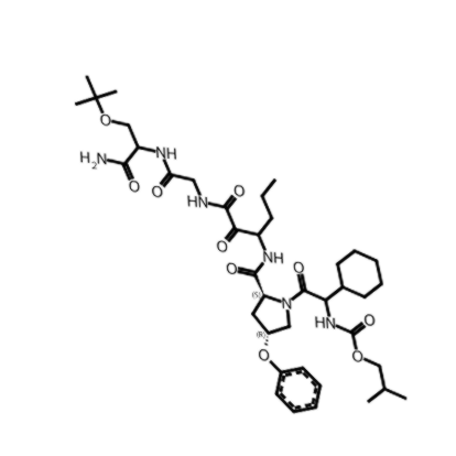 CCCC(NC(=O)[C@@H]1C[C@@H](Oc2ccccc2)CN1C(=O)C(NC(=O)OCC(C)C)C1CCCCC1)C(=O)C(=O)NCC(=O)NC(COC(C)(C)C)C(N)=O